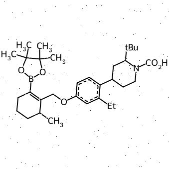 CCc1cc(OCC2=C(B3OC(C)(C)C(C)(C)O3)CCCC2C)ccc1C1CCN(C(=O)O)C(C(C)(C)C)C1